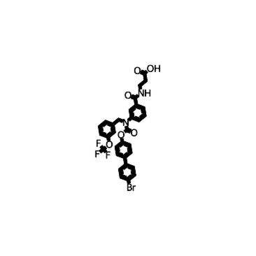 O=C(O)CCNC(=O)c1cccc(N(Cc2cccc(OC(F)(F)F)c2)C(=O)Oc2ccc(-c3ccc(Br)cc3)cc2)c1